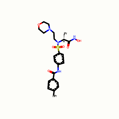 CCCc1ccc(C(=O)Nc2ccc(S(=O)(=O)N(CCN3CCOCC3)[C@@H](C(=O)NO)C(C)C)cc2)cc1